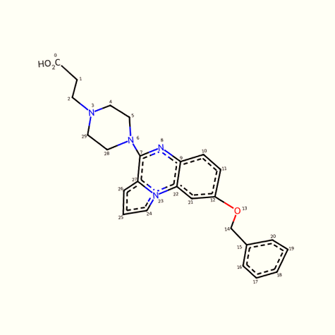 O=C(O)CCN1CCN(c2nc3ccc(OCc4ccccc4)cc3n3cccc23)CC1